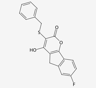 O=c1oc2c(c(O)c1SCc1ccccc1)Cc1cc(F)ccc1-2